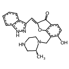 C[C@H]1CNCCN1Cc1c(O)ccc2c1O/C(=C\c1n[nH]c3ccccc13)C2=O